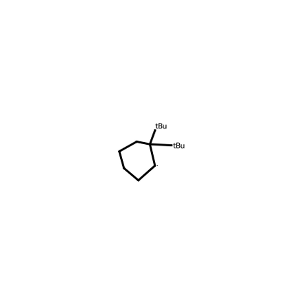 CC(C)(C)C1(C(C)(C)C)[CH]CCCC1